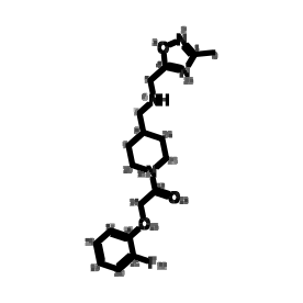 Cc1noc(CNCC2CCN(C(=O)COc3ccccc3F)CC2)n1